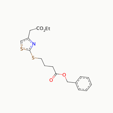 CCOC(=O)Cc1csc(SCCCC(=O)OCc2ccccc2)n1